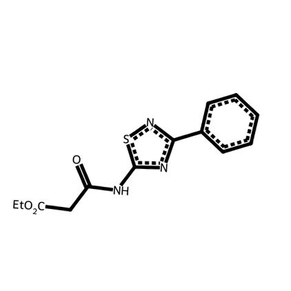 CCOC(=O)CC(=O)Nc1nc(-c2ccccc2)ns1